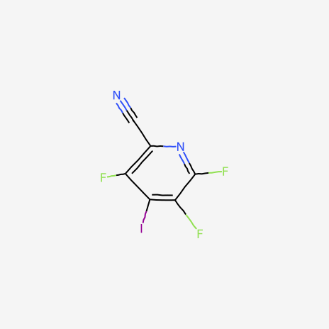 N#Cc1nc(F)c(F)c(I)c1F